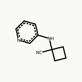 N#CC1(Nc2cccnc2)CCC1